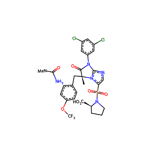 CNC(N)=O.C[C@@]1(Cc2ccc(OC(F)(F)F)cc2)C(=O)N(c2cc(Cl)cc(Cl)c2)c2ncc(S(=O)(=O)N3CCC[C@H]3C(=O)O)n21